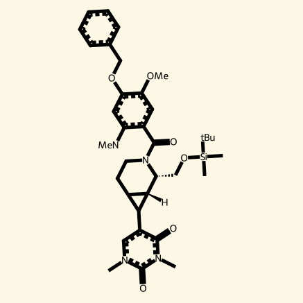 CNc1cc(OCc2ccccc2)c(OC)cc1C(=O)N1CCC2C(c3cn(C)c(=O)n(C)c3=O)[C@H]2[C@H]1CO[Si](C)(C)C(C)(C)C